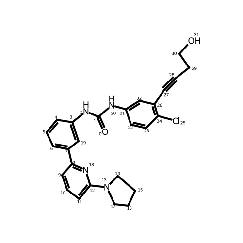 O=C(Nc1cccc(-c2cccc(N3CCCC3)n2)c1)Nc1ccc(Cl)c(C#CCCO)c1